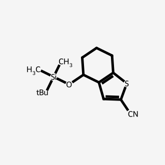 CC(C)(C)[Si](C)(C)OC1CCCc2sc(C#N)cc21